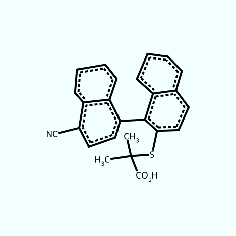 CC(C)(Sc1ccc2ccccc2c1-c1ccc(C#N)c2ccccc12)C(=O)O